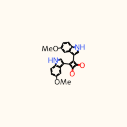 COc1ccc2[nH]cc(-c3c(-c4c[nH]c5ccc(OC)cc45)c(=O)c3=O)c2c1